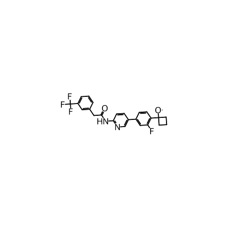 [O]C1(c2ccc(-c3ccc(NC(=O)Cc4cccc(C(F)(F)F)c4)nc3)cc2F)CCC1